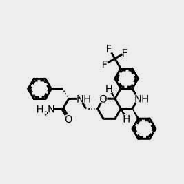 NC(=O)[C@H](Cc1ccccc1)NC[C@H]1CC[C@@H]2[C@H](O1)c1cc(C(F)(F)F)ccc1N[C@H]2c1ccccc1